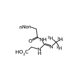 [2H]C([2H])([2H])N=C(NCC(=O)O)NC(=O)CCCCCCCCCC